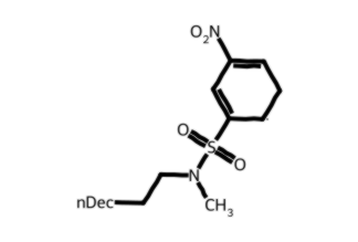 CCCCCCCCCCCCN(C)S(=O)(=O)C1=CC([N+](=O)[O-])=CC[CH]1